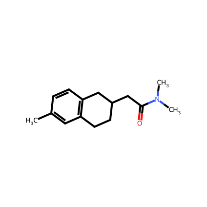 Cc1ccc2c(c1)CCC(CC(=O)N(C)C)C2